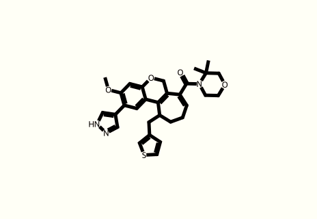 COc1cc2c(cc1-c1cn[nH]c1)C1=C(CO2)C(C(=O)N2CCOCC2(C)C)=CCCC1Cc1ccsc1